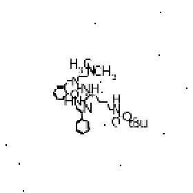 CN(C)CCN(Cc1ccccc1)C(=O)N[C@@H](CCCCNC(=O)OC(C)(C)C)c1nc(-c2ccccc2)c[nH]1